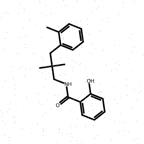 Cc1ccccc1CC(C)(C)CNC(=O)c1ccccc1O